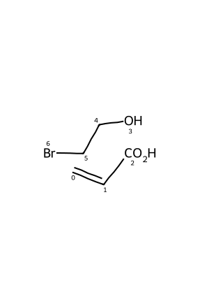 C=CC(=O)O.OCCBr